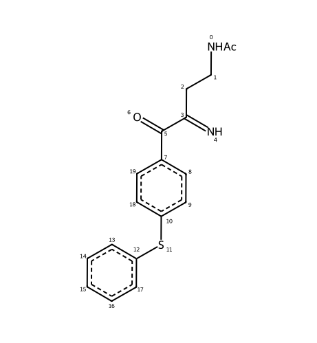 CC(=O)NCCC(=N)C(=O)c1ccc(Sc2ccccc2)cc1